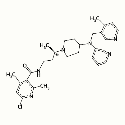 Cc1ccncc1CN(c1cccnc1)C1CCN([C@H](C)CCNC(=O)c2c(C)cc(Cl)nc2C)CC1